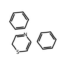 C1=CSCC=N1.c1ccccc1.c1ccccc1